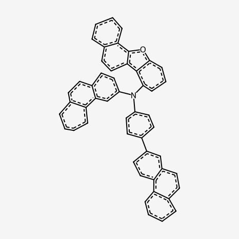 c1ccc2c(c1)ccc1cc(-c3ccc(N(c4ccc5ccc6ccccc6c5c4)c4cccc5oc6c7ccccc7ccc6c45)cc3)ccc12